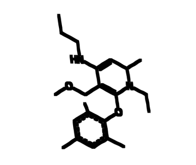 CCCNC1=CC(C)N(CC)C(Oc2c(C)cc(C)cc2C)=C1COC